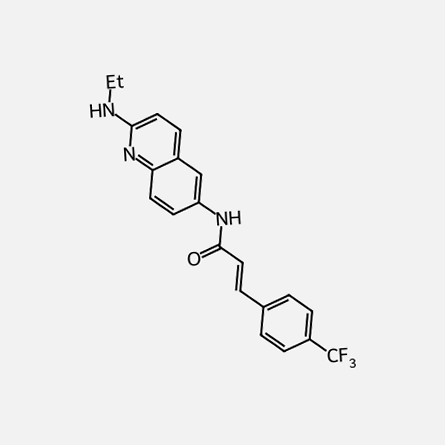 CCNc1ccc2cc(NC(=O)C=Cc3ccc(C(F)(F)F)cc3)ccc2n1